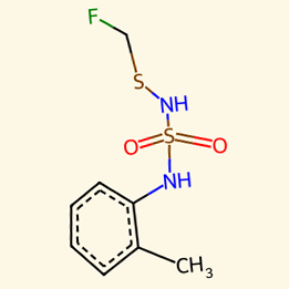 Cc1ccccc1NS(=O)(=O)NSCF